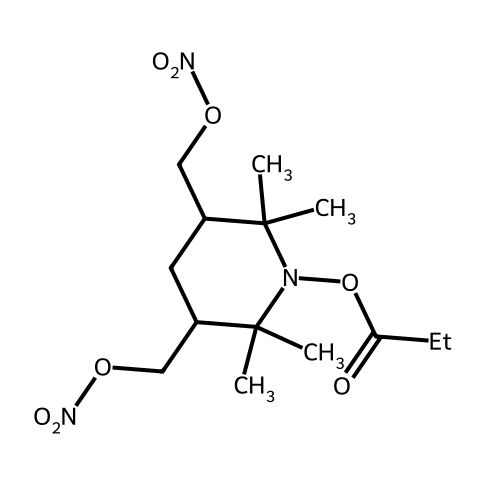 CCC(=O)ON1C(C)(C)C(CO[N+](=O)[O-])CC(CO[N+](=O)[O-])C1(C)C